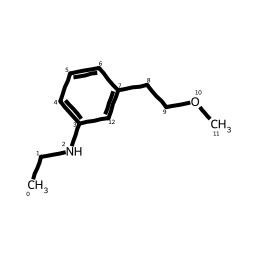 CCNc1cccc(CCOC)c1